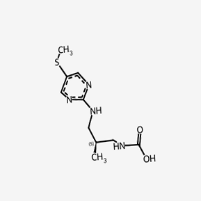 CSc1cnc(NC[C@H](C)CNC(=O)O)nc1